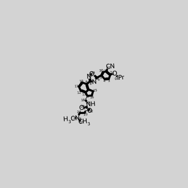 CC(C)Oc1ccc(-c2nc(-c3cccc4c3CC[C@@H]4CNS(=O)(=O)CCN(C)C)no2)cc1C#N